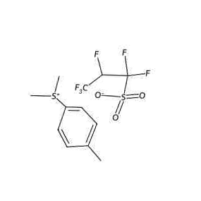 Cc1ccc([S+](C)C)cc1.O=S(=O)([O-])C(F)(F)C(F)C(F)(F)F